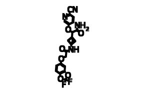 N#Cc1ccc(OC(C(N)=O)C23CC(NC(=O)COc4ccc5c(c4)OC(F)(F)O5)(C2)C3)cn1